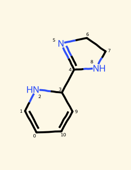 C1=CNC(C2=NCCN2)C=C1